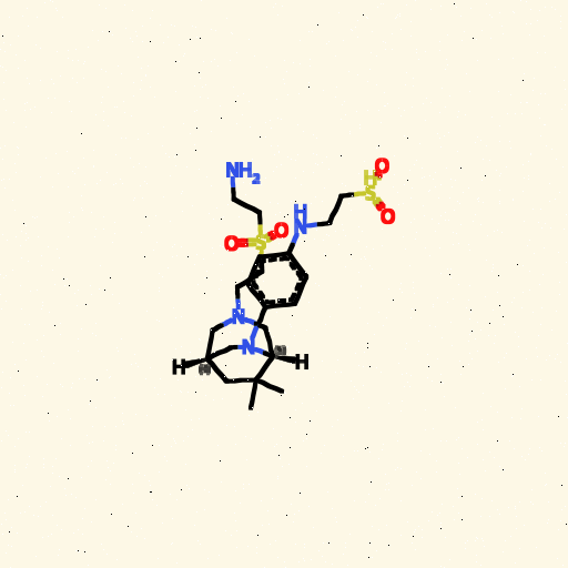 CC1(C)C[C@@H]2CN(CCS(=O)(=O)CCN)C[C@H]1N(c1ccc(NCC[SH](=O)=O)cc1)C2